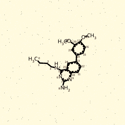 CCCCNc1nc(N)nc2ccc(-c3ccc(OC)c(OC)c3)cc12